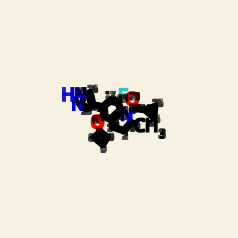 CC1CCc2c(OC3CCC3)c(-c3cn[nH]c3)cc(F)c2N1C(=O)C1CC1